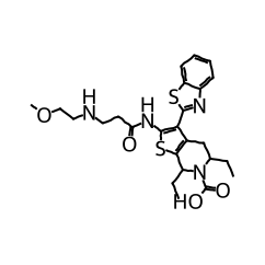 CCC1Cc2c(sc(NC(=O)CCNCCOC)c2-c2nc3ccccc3s2)C(CC)N1C(=O)O